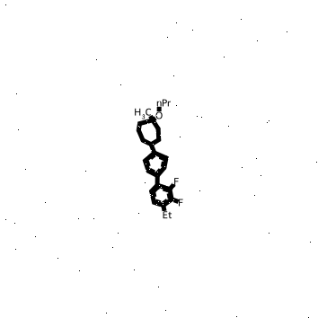 CCCOC1(C)CCCC(c2ccc(-c3ccc(CC)c(F)c3F)cc2)CC1